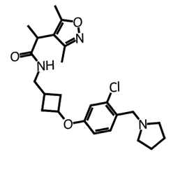 Cc1noc(C)c1C(C)C(=O)NCC1CC(Oc2ccc(CN3CCCC3)c(Cl)c2)C1